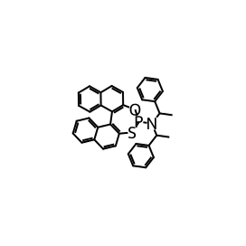 CC(c1ccccc1)N(C(C)c1ccccc1)p1oc2ccc3ccccc3c2c2c(ccc3ccccc32)s1